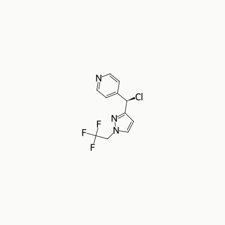 FC(F)(F)Cn1ccc([C@H](Cl)c2ccncc2)n1